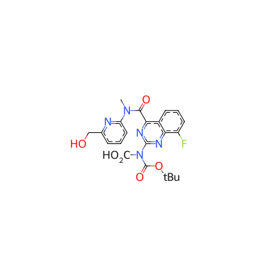 CN(C(=O)c1nc(N(C(=O)O)C(=O)OC(C)(C)C)nc2c(F)cccc12)c1cccc(CO)n1